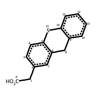 O=C(O)Cc1ccc2c(c1)Cc1ccccc1S2